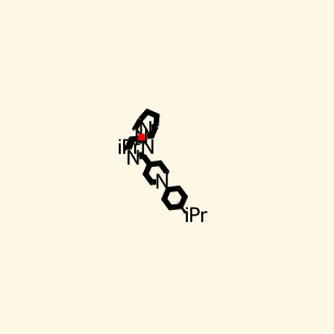 CC(C)N1CC2CCC(C1)N2c1ccnc(C2CCN([C@H]3CC[C@H](C(C)C)CC3)CC2)n1